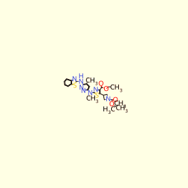 CCOC(=O)c1nc(N(C)c2cc(C)c(Nc3nc4ccccc4s3)nn2)sc1C1CN(C(=O)OC(C)(C)C)C1